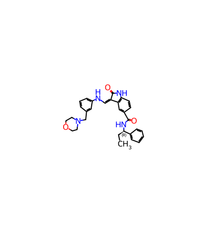 CC[C@@H](NC(=O)c1ccc2c(c1)C(=CNc1cccc(CN3CCOCC3)c1)C(=O)N2)c1ccccc1